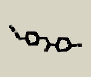 N#Cc1ccc(C(=O)Cc2ccc(N=C=O)cc2)cc1